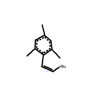 CCCC/C=[C]\c1c(C)cc(C)cc1C